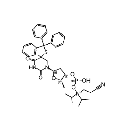 CC(C)[N+](CCC#N)(O[P@@](O)O[C@H]1C[C@H](N2CC(C)(SC(c3ccccc3)(c3ccccc3)c3ccccc3)C(=O)NC2=O)O[C@@H]1C)C(C)C